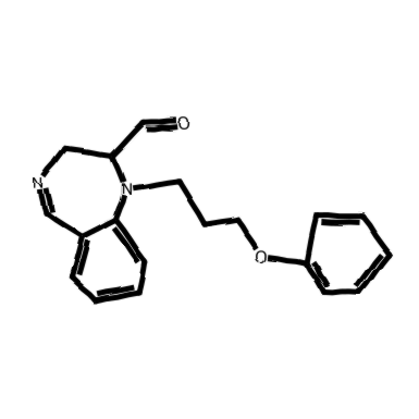 O=CC1CN=Cc2ccccc2N1CCCOc1ccccc1